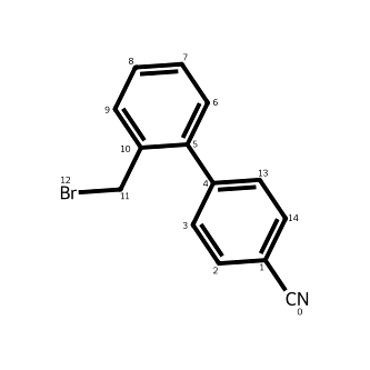 N#Cc1ccc(-c2ccccc2CBr)cc1